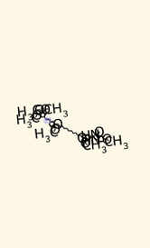 COc1ccc2c(c1)C(=O)NC(c1ccc(OCCCCCCCCCCOc3cc(/C=C/c4cc(OC)c(OC)c(OC)c4)ccc3OC)c(OC)c1)N2